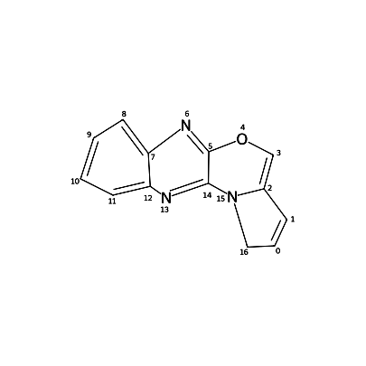 C1=CC2=COc3nc4ccccc4nc3N2C1